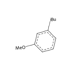 CCC(C)c1cccc(OC)c1